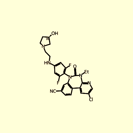 CCN1C(=O)N(c2c(F)cc(NCCN3CC[C@@H](O)C3)cc2F)c2cc(C#N)ccc2-c2cc(Cl)cnc21